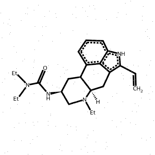 C=Cc1[nH]c2cccc3c2c1C[C@@H]1C3C[C@H](NC(=O)N(CC)CC)CN1CC